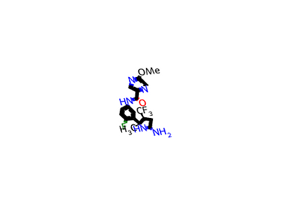 COc1cnc(C(=O)Nc2ccc(F)c([C@]3(C)NC(N)C[C@@H]3C(F)(F)F)c2)cn1